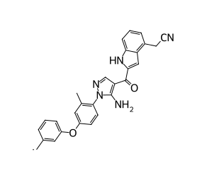 [CH2]c1cccc(Oc2ccc(-n3ncc(C(=O)c4cc5c(CC#N)cccc5[nH]4)c3N)c(C)c2)c1